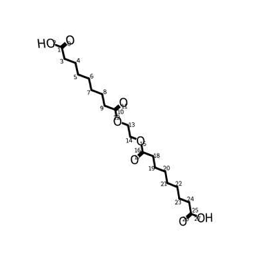 O=C(O)CCCCCCCC(=O)OCCOC(=O)CCCCCCCC(=O)O